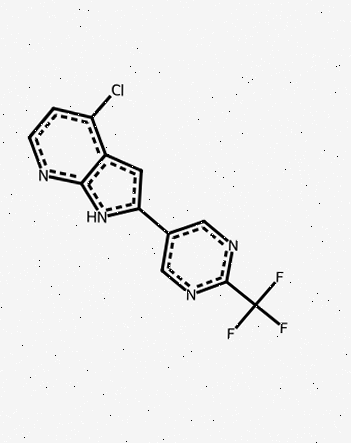 FC(F)(F)c1ncc(-c2cc3c(Cl)ccnc3[nH]2)cn1